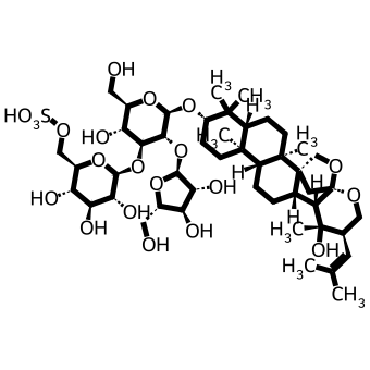 CC(C)=C[C@@H]1CO[C@]23C[C@@]4(CO2)[C@@H](CC[C@@H]2[C@@]5(C)CC[C@H](O[C@@H]6O[C@H](CO)[C@@H](O)[C@H](O[C@@H]7O[C@H](COS(=O)(=O)O)[C@@H](O)[C@H](O)[C@H]7O)[C@H]6O[C@@H]6O[C@@H](CO)[C@H](O)[C@H]6O)C(C)(C)[C@@H]5CC[C@]24C)[C@H]3[C@@]1(C)O